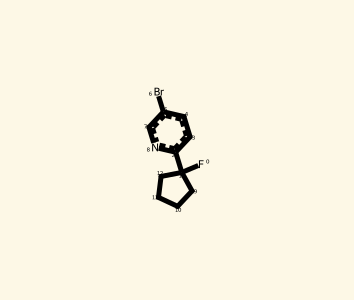 FC1(c2ccc(Br)cn2)CCCC1